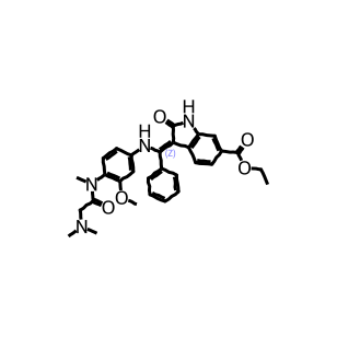 CCOC(=O)c1ccc2c(c1)NC(=O)/C2=C(\Nc1ccc(N(C)C(=O)CN(C)C)c(OC)c1)c1ccccc1